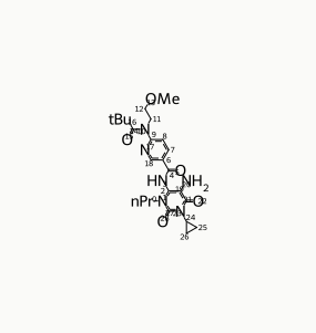 CCCn1c(NC(=O)c2ccc(N(CCOC)C(=O)C(C)(C)C)nc2)c(N)c(=O)n(C2CC2)c1=O